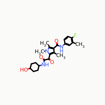 Cc1cc(NC(=O)c2c(C)c(C(=O)C(=O)NC3CCC(O)CC3)n(C)c2C)ccc1F